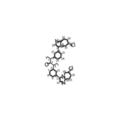 CC(C(=O)C(C)c1cccc(-c2cnc3ccc(Cl)cn23)c1)c1cccc(-c2cnc3ccc(Cl)cn23)c1